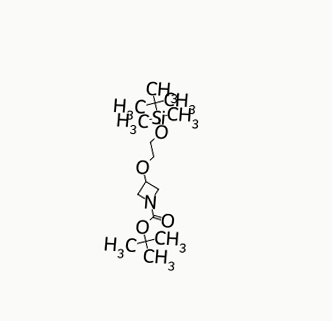 CC(C)(C)OC(=O)N1CC(OCCO[Si](C)(C)C(C)(C)C)C1